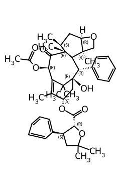 CC(=O)O[C@H]1C(=O)[C@@]2(C)C([C@H](c3ccccc3)[C@]3(O)C[C@H](OC(=O)[C@@H]4OC(C)(C)C[C@H]4c4ccccc4)C(C)=C1C3(C)C)[C@]1(C)CO[C@@H]1C[C@@H]2C